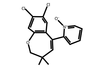 CC1(C)C=C(c2cccc[n+]2[O-])c2cc(Cl)c(Cl)cc2OC1